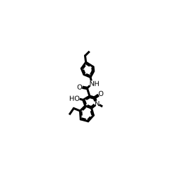 CCc1ccc(NC(=O)c2c(O)c3c(CC)cccc3n(C)c2=O)cc1